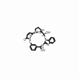 O=c1ccc2nn1Cc1cccc(c1)C(O)Nc1nc3ccccc3n1C[C@H](O)[C@@H]1CCCN2C1